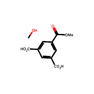 CO.COC(=O)c1cc(C(=O)O)cc(C(=O)O)c1